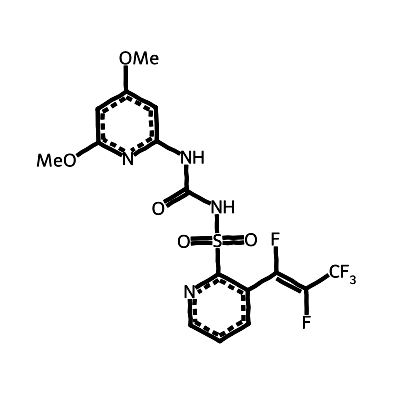 COc1cc(NC(=O)NS(=O)(=O)c2ncccc2C(F)=C(F)C(F)(F)F)nc(OC)c1